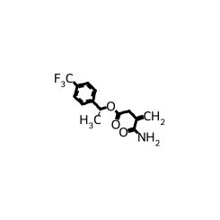 C=C(CC(=O)O[C@H](C)c1ccc(C(F)(F)F)cc1)C(N)=O